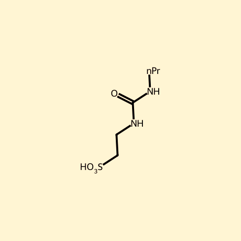 CCCNC(=O)NCCS(=O)(=O)O